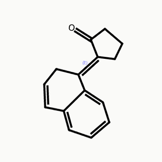 O=C1CCC/C1=C1/CC=Cc2ccccc21